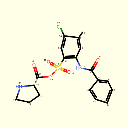 Cc1cc(NC(=O)c2ccccc2)c(S(=O)(=O)OC(=O)[C@@H]2CCCN2)cc1Cl